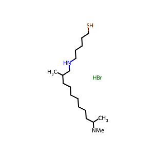 Br.CNC(C)CCCCCCCC(C)CNCCCCCS